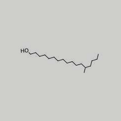 CCCCC(C)CCCCCCCCCCCCO